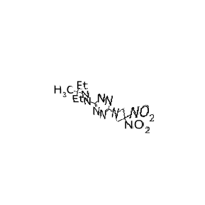 CCC(C)(CC)N=Nc1nnc(N2CC([N+](=O)[O-])([N+](=O)[O-])C2)nn1